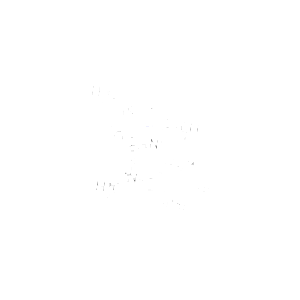 CS/C=C(/C)n1c(=O)n(C)c2ccccc21